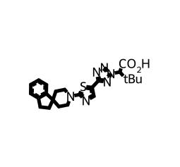 CC(C)(C)C(C(=O)O)n1nnc(-c2cnc(N3CCC4(CCc5ccccc54)CC3)s2)n1